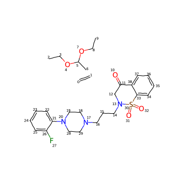 C=C.CCOC(C)OCC.O=C1CN(CCCN2CCN(c3ccccc3F)CC2)S(=O)(=O)c2ccccc21